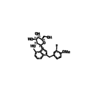 COc1ccc(Cc2cn([C@@H]3O[C@H](CO)[C@@H](O)[C@H](O)[C@H]3O)c3c(C)cccc23)cc1F